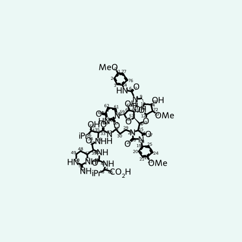 COc1ccc(NC(=O)NC[C@H]2OC(OC(C3C(=O)N(c4ccc(OC)cc4)C(=O)N3CCCNC(=O)C(NC(=O)C(NC(=O)NC(C(=O)O)C(C)C)C3CCNC(=N)N3)C(O)C(C)C)[C@H]3O[C@@H](n4ccc(=O)[nH]c4=O)C(O)C3O)C(OC)C2O)cc1